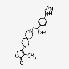 CC1=C(N2CCC3(CCN(CC(O)c4ccc(-n5cnnn5)cc4)CC3)CC2)COC1=O